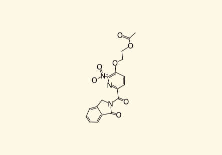 CC(=O)OCCOc1ccc(C(=O)N2Cc3ccccc3C2=O)nc1[N+](=O)[O-]